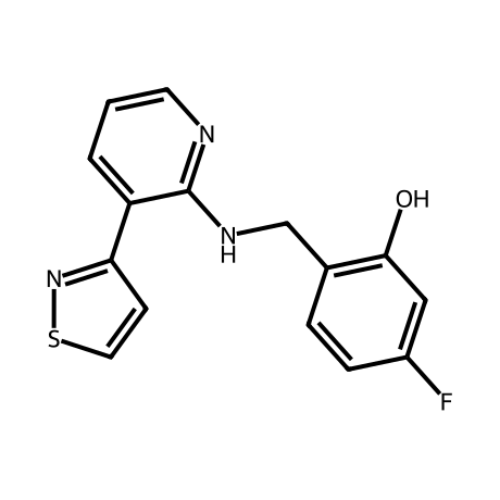 Oc1cc(F)ccc1CNc1ncccc1-c1ccsn1